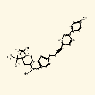 CN(Cc1ccc(CCC#Cc2ccc(-c3ccc(Cl)cc3)cn2)cc1)C1CCN(C(=O)O)C(C(C)(C)C)C1